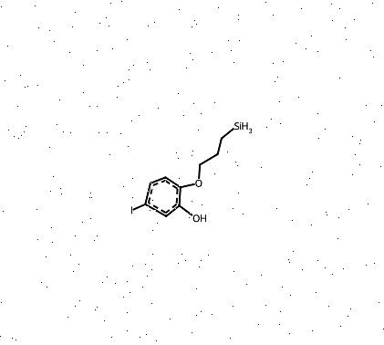 Oc1cc(I)ccc1OCCC[SiH3]